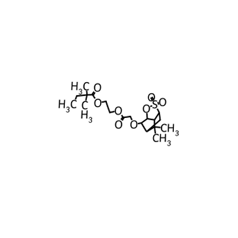 CCC(C)(C)C(=O)OCCOC(=O)COC1C2OS(=O)(=O)C3CC1C(C)(C)C23